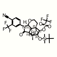 CC(C)(C)[Si](C)(C)O[C@@H]1[C@H](OS(=O)(=O)C(F)(F)F)[C@@]23CCO[C@H]4[C@@H]2[C@H](C(=O)N4c2ccc(C#N)c(C(F)(F)F)c2)[C@]1(C)O3